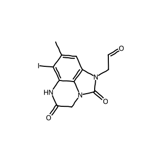 Cc1cc2c3c(c1I)NC(=O)Cn3c(=O)n2CC=O